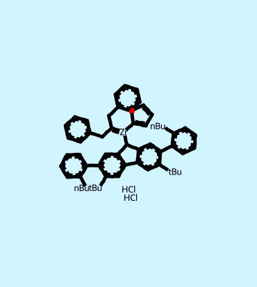 CCCCc1ccccc1-c1cc2c(cc1C(C)(C)C)-c1cc(C(C)(C)C)c(-c3ccccc3CCCC)cc1[CH]2[Zr]([C]1=CC=CC1)=[C](Cc1ccccc1)Cc1ccccc1.Cl.Cl